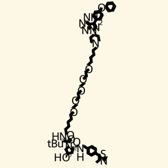 Cc1ncsc1-c1ccc(CNC(=O)[C@@H]2C[C@@H](O)CN2C(=O)[C@@H](NC(=O)CCCCCOCCOCCOCCOCCOCCCCCCN2CCC(n3nc(-c4ccc(Oc5ccccc5)cc4)c4c(N)ncnc43)CC2)C(C)(C)C)cc1